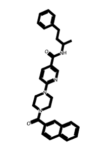 CC(CCc1ccccc1)NC(=O)c1ccc(N2CCN(C(=O)c3ccc4ccccc4c3)CC2)nc1